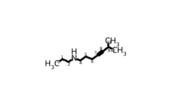 CCCNCCCC#CC(C)C